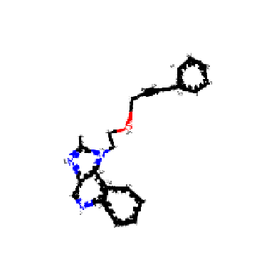 Cc1nc2cnc3ccccc3c2n1CCOCC#Cc1ccccc1